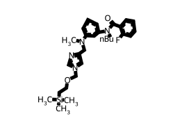 CCCCN(C(=O)c1ccccc1F)c1cccc(N(C)Cc2cn(COCC[Si](C)(C)C)cn2)c1